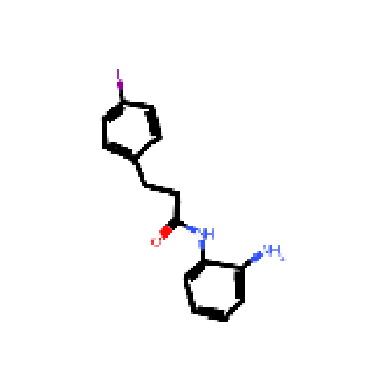 Nc1ccccc1NC(=O)CCc1ccc(I)cc1